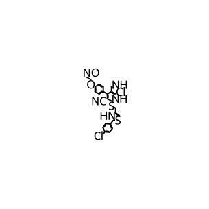 N#CC1=C(c2ccc(OCCN=O)cc2)C(C=N)=C(Cl)NC1SCC1=CSC(c2ccc(Cl)cc2)N1